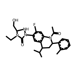 CCN1C(=O)N(c2cc3c(cc2F)N(C(C)=O)C(c2ccccc2C)CC3C(C)C)NC1CO